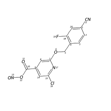 N#Cc1ccc(COc2cc(C(=O)ON=O)cc(Cl)n2)c(F)c1